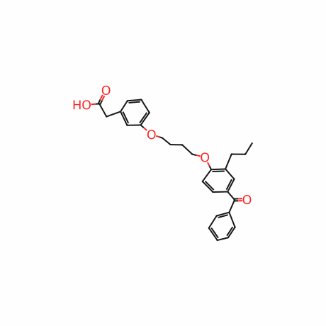 CCCc1cc(C(=O)c2ccccc2)ccc1OCCCCOc1cccc(CC(=O)O)c1